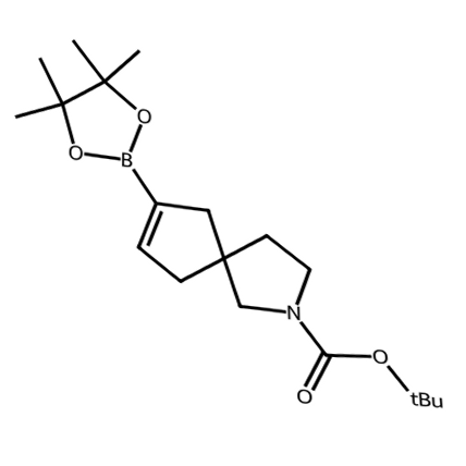 CC(C)(C)OC(=O)N1CCC2(CC=C(B3OC(C)(C)C(C)(C)O3)C2)C1